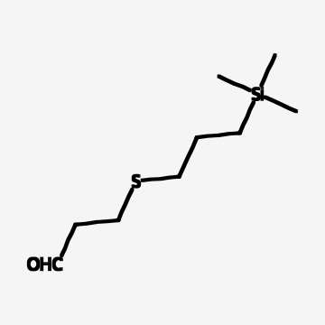 C[Si](C)(C)CCCSCCC=O